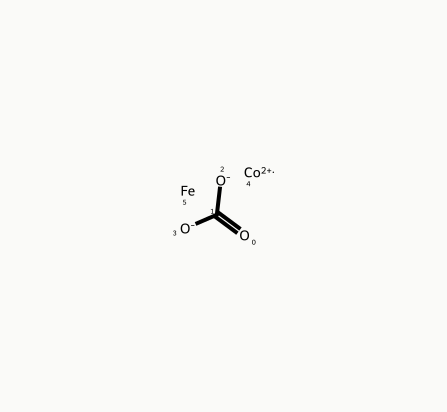 O=C([O-])[O-].[Co+2].[Fe]